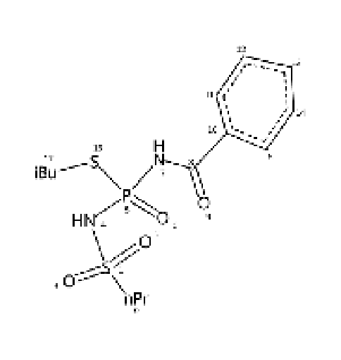 CCCS(=O)(=O)NP(=O)(NC(=O)c1ccccc1)SC(C)CC